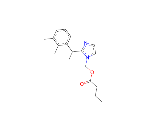 CCCC(=O)OCn1ccnc1C(C)c1cccc(C)c1C